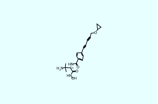 CC(C)(N)[C@H](NC(=O)c1ccc(C#CC#CCOC2CC2)cc1)C(=O)NO